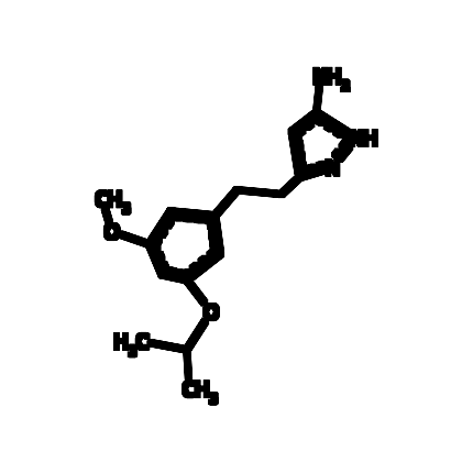 COc1cc(CCc2cc(N)[nH]n2)cc(OC(C)C)c1